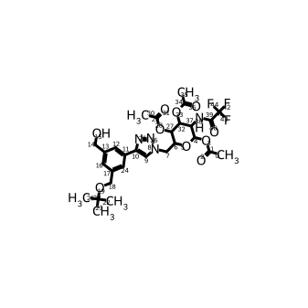 CC(=O)OC1OC(Cn2cc(-c3cc(CO)cc(COC(C)(C)C)c3)nn2)C(OC(C)=O)C(OC(C)=O)C1NC(=O)C(F)(F)F